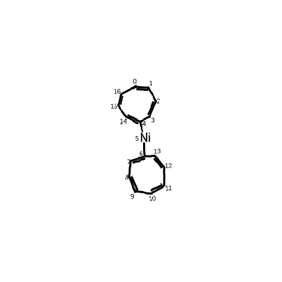 C1=CC=C[C]([Ni][C]2=CC=CC=CC=C2)=CC=C1